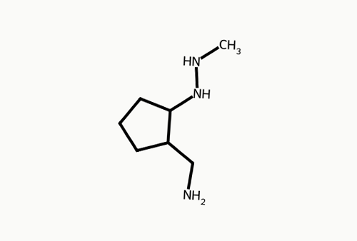 CNNC1CCCC1CN